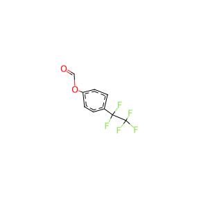 O=COc1ccc(C(F)(F)C(F)(F)F)cc1